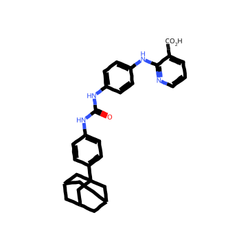 O=C(Nc1ccc(Nc2ncccc2C(=O)O)cc1)Nc1ccc(C23CC4CC(CC(C4)C2)C3)cc1